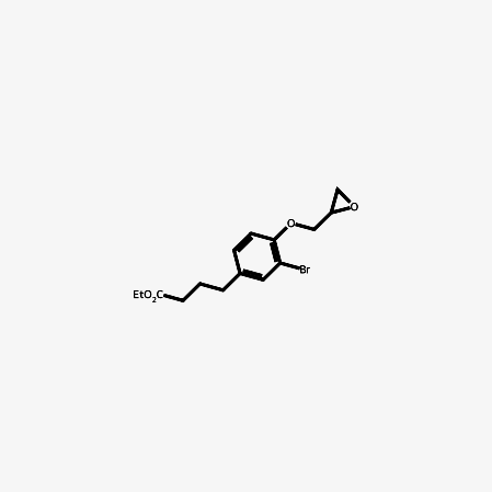 CCOC(=O)CCCc1ccc(OCC2CO2)c(Br)c1